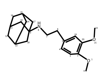 COc1ccc(CCNC23CC4CC(CC(C4)C2)C3)cc1OC